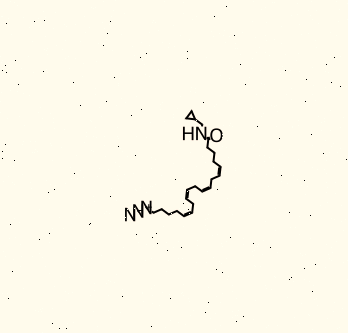 [N-]=[N+]=NCCCC/C=C\C/C=C\C/C=C\C/C=C\CCCC(=O)NCC1CC1